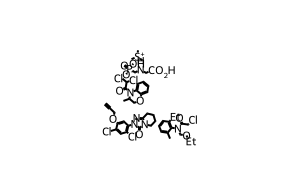 C#CCOc1cc(-n2nc3n(c2=O)CCCC3)c(Cl)cc1Cl.CC1COc2ccccc2N1C(=O)C(Cl)Cl.CCOCN(C(=O)CCl)c1c(C)cccc1CC.C[S+](C)C.O=C(O)CNCP(=O)([O-])O